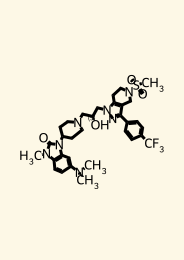 CN(C)c1ccc2c(c1)n(C1CCN(C[C@H](O)Cn3nc(-c4ccc(C(F)(F)F)cc4)c4c3CCN(S(C)(=O)=O)C4)CC1)c(=O)n2C